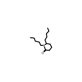 CCCCCC1CCCC(=O)N1CCCCC